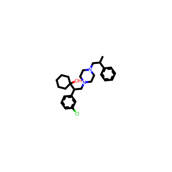 CC(CN1CCN(CC(c2cccc(Cl)c2)C2(O)CCCCC2)CC1)c1ccccc1